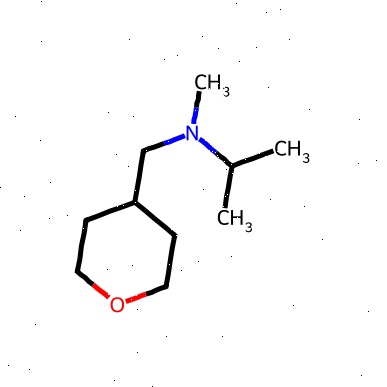 CC(C)N(C)CC1CCOCC1